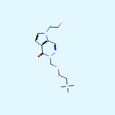 C[C@H](CO)n1ccc2c(=O)n(COCC[Si](C)(C)C)ncc21